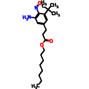 CCCCCCCCOC(=O)CCc1cc(N)c(N=O)c(C(C)(C)C)c1